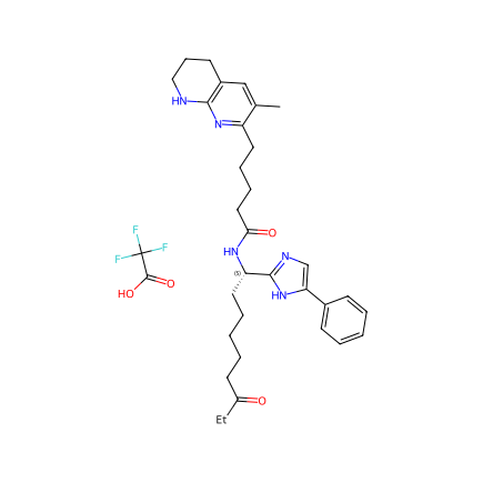 CCC(=O)CCCCC[C@H](NC(=O)CCCCc1nc2c(cc1C)CCCN2)c1ncc(-c2ccccc2)[nH]1.O=C(O)C(F)(F)F